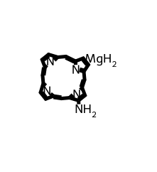 NC1=CC2=CC3=NC(=CC4=NC(=CC5=NC(=CC1=N2)C=C5)C=C4)C=C3.[MgH2]